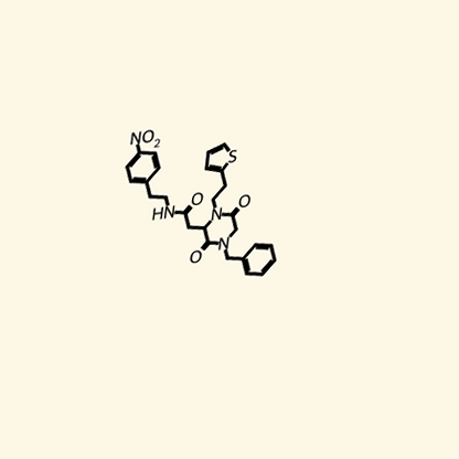 O=C(CC1C(=O)N(Cc2ccccc2)CC(=O)N1CCc1cccs1)NCCc1ccc([N+](=O)[O-])cc1